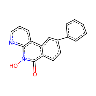 O=c1c2ccc(-c3ccccc3)cc2c2cccnc2n1O